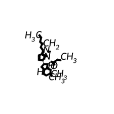 C=C(CCC)Cc1ncnc2c1C=CC2[C@H]1C[C@H]2CCC(C)(C)C[C@H]2[C@H]1CC(=O)CCC